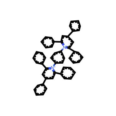 c1ccc(-c2cc(-c3ccccc3)[n+](-c3ccc(-[n+]4c(-c5ccccc5)cc(-c5ccccc5)cc4-c4ccccc4)cc3)c(-c3ccccc3)c2)cc1